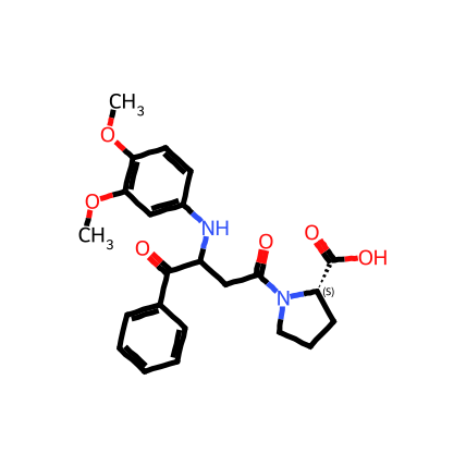 COc1ccc(NC(CC(=O)N2CCC[C@H]2C(=O)O)C(=O)c2ccccc2)cc1OC